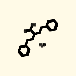 O.O=C(O)C(CCc1ccccc1)CCc1ccccc1